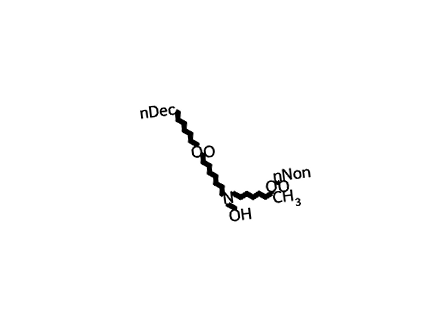 CCCCCCCCCCCCCCCCCOC(=O)CCCCCCCN(CCO)CCCCCCC(C)OC(=O)CCCCCCCCC